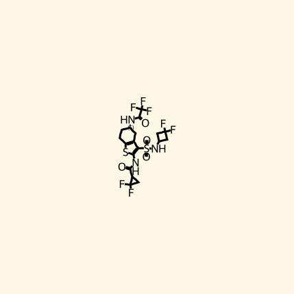 O=C(Nc1sc2c(c1S(=O)(=O)NC1CC(F)(F)C1)C[C@@H](NC(=O)C(F)(F)F)CC2)C1CC1(F)F